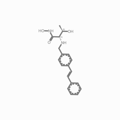 C[C@@H](O)[C@H](NCc1ccc(C=Cc2ccccc2)cc1)C(=O)NO